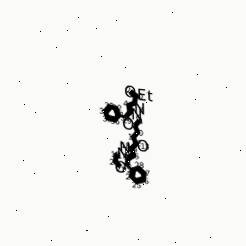 CCC(=O)c1cc2n(n1)CC(CCC(=O)c1cc3n(n1)CCO[C@@H]3c1ccccc1)O[C@H]2c1ccccc1